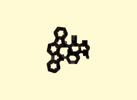 CN1C=NC2NC(n3c4ccccc4c4ccc5c6ccccc6n(C6C=CC=CC6)c5c43)=NC=C21